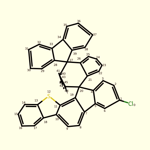 Clc1ccc2c(c1)-c1ccc3c(sc4ccccc43)c1C21c2ccccc2C2(c3ccccc3-c3ccccc32)c2ccccc21